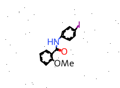 COc1ccccc1C(=O)Nc1ccc(I)cc1